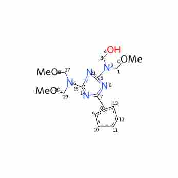 COCN(CO)c1nc(-c2ccccc2)nc(N(COC)COC)n1